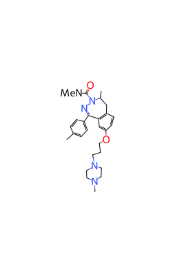 CNC(=O)N1N=C(c2ccc(C)cc2)c2cc(OCCCN3CCN(C)CC3)ccc2CC1C